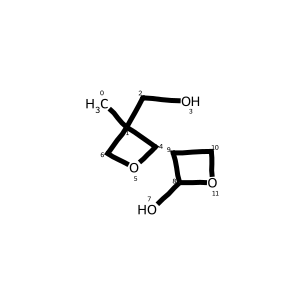 CC1(CO)COC1.OC1CCO1